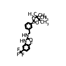 CC1(C)OB(c2cccc(CNC(=O)Nc3cc(C(F)(F)F)ccc3F)c2)OC1(C)C